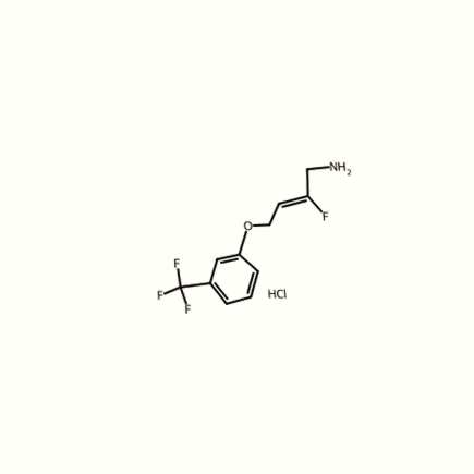 Cl.NCC(F)=CCOc1cccc(C(F)(F)F)c1